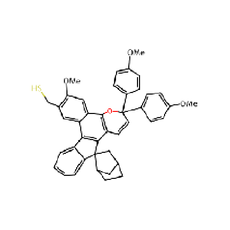 COc1ccc(C2(c3ccc(OC)cc3)C=Cc3c4c(c5cc(CS)c(OC)cc5c3O2)-c2ccccc2C42CC3CCC2C3)cc1